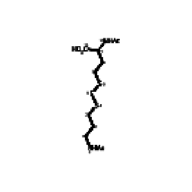 CC(=O)NCCCSSSCC[C@H](NC(C)=O)C(=O)O